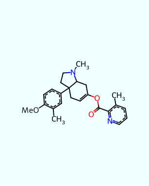 COc1ccc(C23CC=C(OC(=O)c4ncccc4C)CC2N(C)CC3)cc1C